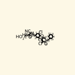 N#CC(=NNc1cc(Cl)c(Oc2cc(Cl)c(=O)n(Cc3ccccc3)c2)c(Cl)c1)C(=O)NC(=O)O